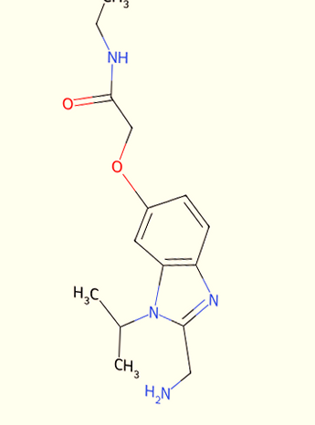 CCNC(=O)COc1ccc2nc(CN)n(C(C)C)c2c1